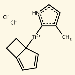 Cc1cc[nH][c]1[Ti+2][C]12C=CC=C1CC2.[Cl-].[Cl-]